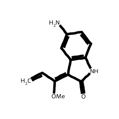 C=CC(OC)=C1C(=O)Nc2ccc(N)cc21